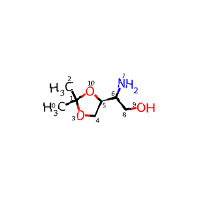 CC1(C)OC[C@H](C(N)CO)O1